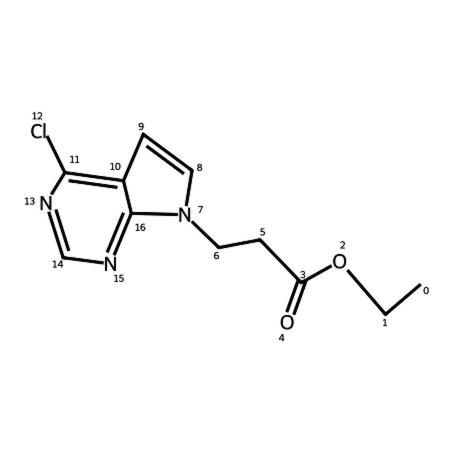 CCOC(=O)CCn1ccc2c(Cl)ncnc21